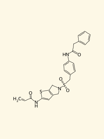 C=CC(=O)Nc1cc2c(s1)CN(S(=O)(=O)Cc1ccc(NC(=O)Cc3ccccc3)cc1)C2